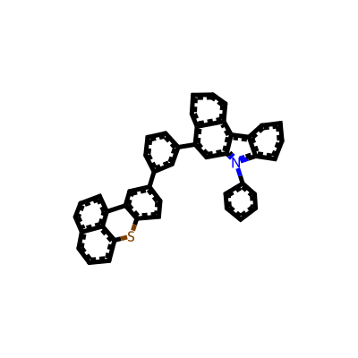 c1ccc(-n2c3ccccc3c3c4ccccc4c(-c4cccc(-c5ccc6c(c5)-c5cccc7cccc(c57)S6)c4)cc32)cc1